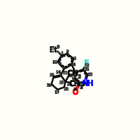 CCc1ccc(-c2cc(=O)[nH]cc2F)c(C2=CCCCC2(C)C)c1